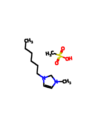 CCCCCCN1C=CN(C)C1.CS(=O)(=O)O